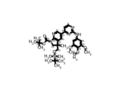 COc1cc(Nc2nccc(-c3cnc4c(c3)C(C)(CO[Si](C)(C)C(C)(C)C)CN4C(=O)OC(C)(C)C)n2)cc(OC)c1OC